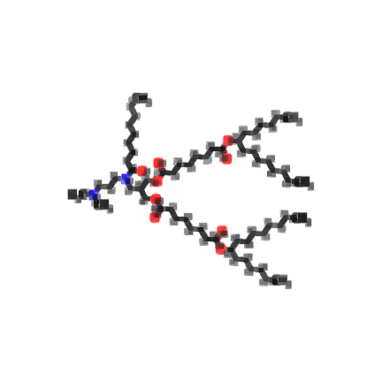 CCCCCCCCC(=O)N(CCCN(C)C)CC(COC(=O)CCCCCCC(=O)OC(CCCCCC)CCCCCCCC)COC(=O)CCCCCCC(=O)OC(CCCCCC)CCCCCCCC